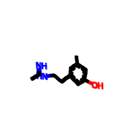 CC(=N)NCCc1cc(C)cc(O)c1